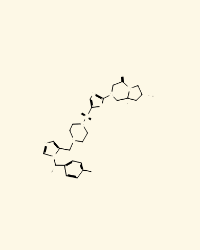 C[C@H](c1ccc(F)cc1)n1cncc1CN1CCN(S(=O)(=O)c2cnc(N3CC(=O)N4C[C@H](O)C[C@H]4C3)s2)CC1